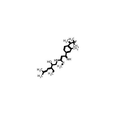 C=C/C(=C\C=C(C)C)C(O)CN/C(=C/C(=N)c1ccc(C(=C)C(C)(C)F)c(C)c1)N=C